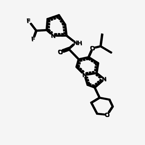 CC(C)Oc1cc2nc(C3CCOCC3)cn2cc1C(=O)Nc1cccc(C(F)F)n1